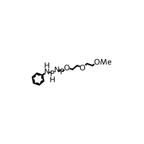 COCCOCCOP=NPNc1ccccc1